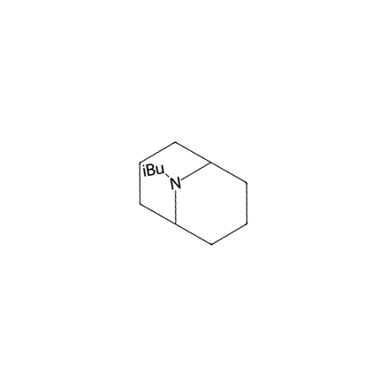 CCC(C)N1C2CCCC1CCC2